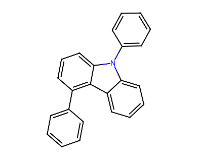 c1ccc(-c2cccc3c2c2ccccc2n3-c2ccccc2)cc1